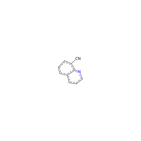 N#Cc1cccc2[c]ccnc12